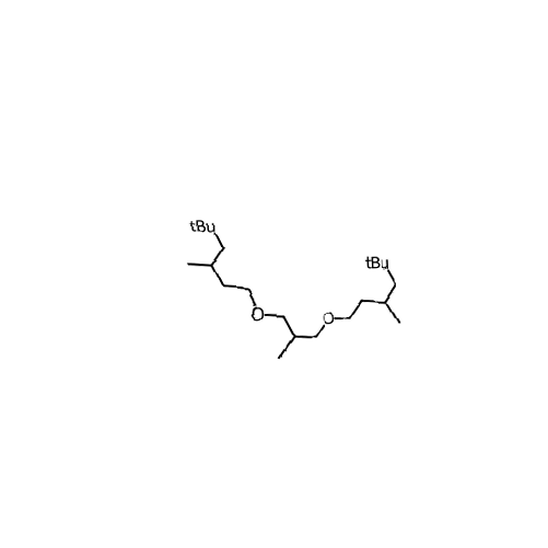 CC(COCCC(C)CC(C)(C)C)COCCC(C)CC(C)(C)C